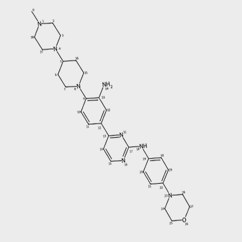 CN1CCN(C2CCN(c3ccc(-c4ccnc(Nc5ccc(N6CCOCC6)cc5)n4)cc3N)CC2)CC1